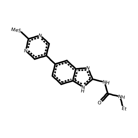 CCNC(=O)Nc1nc2cc(-c3cnc(SC)nc3)ccc2[nH]1